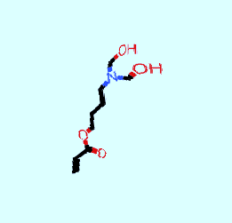 C=CC(=O)OCCCCN(CO)CO